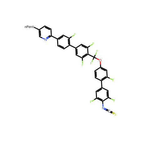 CCCCCc1ccc(-c2ccc(-c3cc(F)c(C(F)(F)Oc4ccc(-c5cc(F)c(N=C=S)c(F)c5)c(F)c4)c(F)c3)c(F)c2)nc1